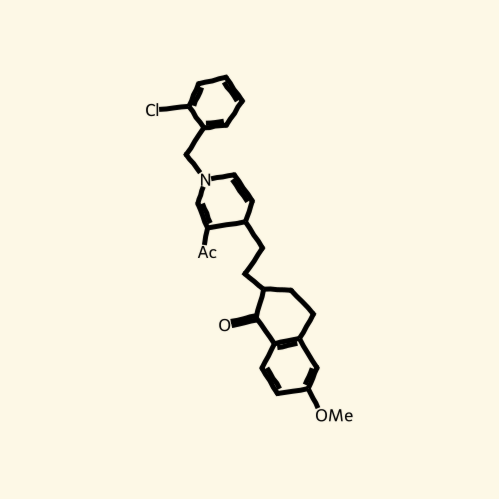 COc1ccc2c(c1)CCC(CCC1C=CN(Cc3ccccc3Cl)C=C1C(C)=O)C2=O